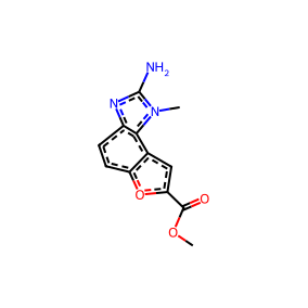 COC(=O)c1cc2c(ccc3nc(N)n(C)c32)o1